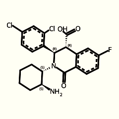 N[C@H]1CCCC[C@@H]1N1C(=O)c2ccc(F)cc2[C@@H](C(=O)O)[C@@H]1c1ccc(Cl)cc1Cl